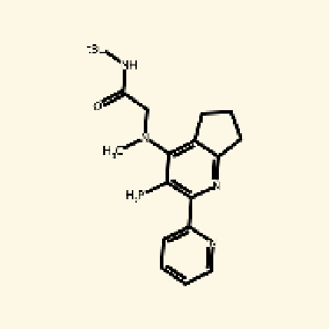 CN(CC(=O)NC(C)(C)C)c1c(P)c(-c2ccccn2)nc2c1CCC2